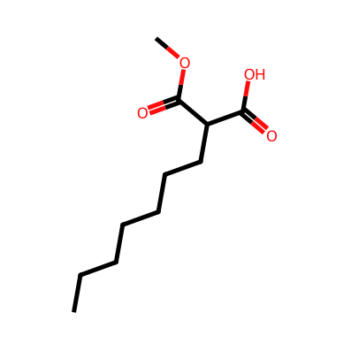 CCCCCCCC(C(=O)O)C(=O)OC